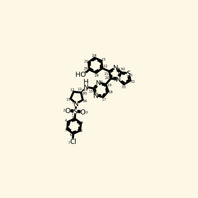 O=S(=O)(c1ccc(Cl)cc1)N1CC[C@@H](Nc2nccc(-c3c(-c4cccc(O)c4)nc4sccn34)n2)C1